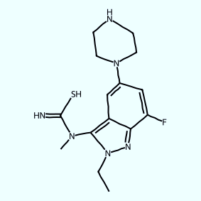 CCn1nc2c(F)cc(N3CCNCC3)cc2c1N(C)C(=N)S